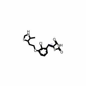 CC1NCSC1CCOc1cccc(/C=C2\SC(=O)NC2=O)c1Cl